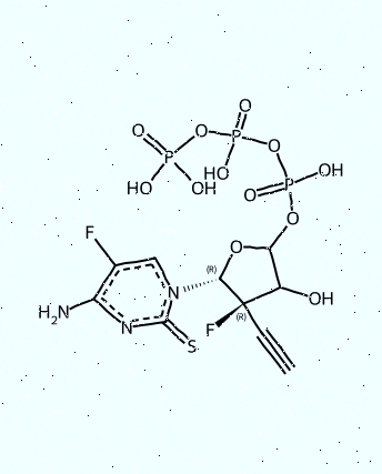 C#C[C@@]1(F)C(O)C(OP(=O)(O)OP(=O)(O)OP(=O)(O)O)O[C@H]1n1cc(F)c(N)nc1=S